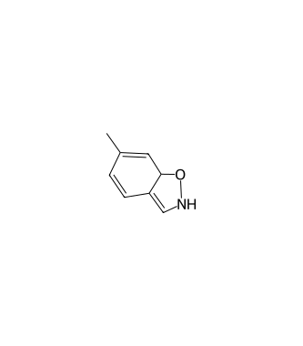 CC1=CC2ONC=C2C=C1